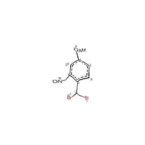 COc1ccc(C(Br)Br)c(N=O)c1